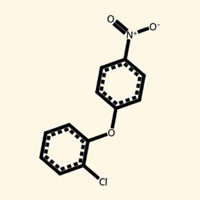 O=[N+]([O-])c1ccc(Oc2ccccc2Cl)cc1